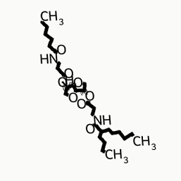 CCCCCCC(=O)NCCC(=O)O[C@@H]1COC2[C@H](OC(=O)CCNC(=O)C(CCCC)CCCCCC)CO[C@@H]21